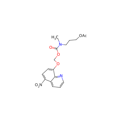 CC(=O)OCCCN(C)C(=O)OCOc1ccc([N+](=O)[O-])c2cccnc12